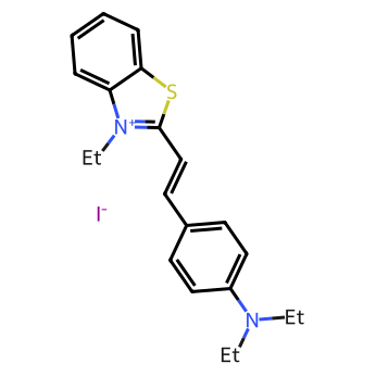 CCN(CC)c1ccc(/C=C/c2sc3ccccc3[n+]2CC)cc1.[I-]